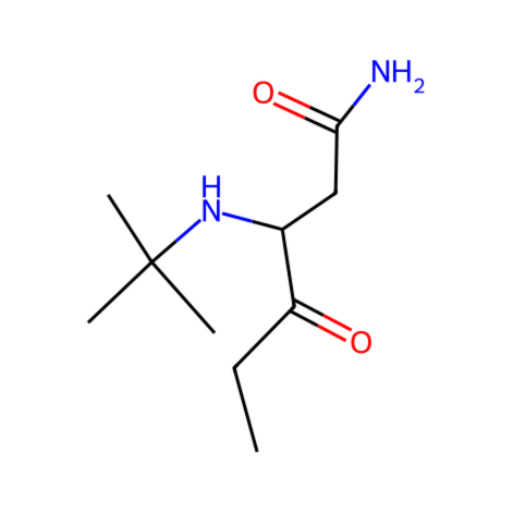 CCC(=O)C(CC(N)=O)NC(C)(C)C